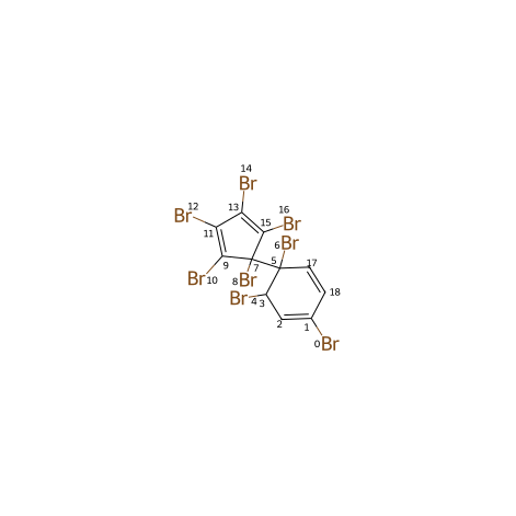 BrC1=CC(Br)C(Br)(C2(Br)C(Br)=C(Br)C(Br)=C2Br)C=C1